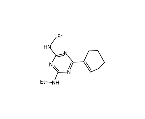 CCNc1nc(NC(C)C)nc(C2=CCCCC2)n1